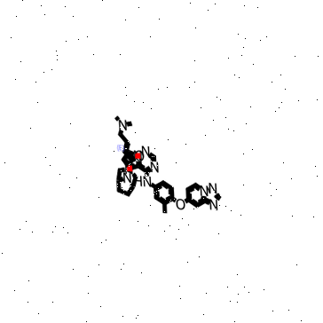 Cc1cc(Nc2ncnn3ccc(N4C5CCC4CN(C(=O)/C=C/CN(C)C)C5)c23)ccc1Oc1ccn2ncnc2c1